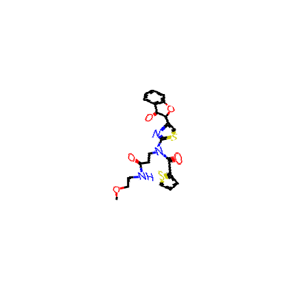 COCCNC(=O)CCN(C(=O)c1cccs1)c1nc(C2Oc3ccccc3C2=O)cs1